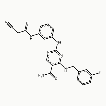 N#CCC(=O)Nc1cccc(Nc2ncc(C(N)=O)c(NCc3cccc(F)c3)n2)c1